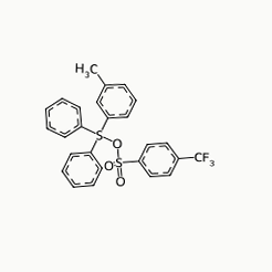 Cc1cccc(S(OS(=O)(=O)c2ccc(C(F)(F)F)cc2)(c2ccccc2)c2ccccc2)c1